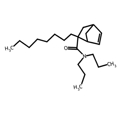 CCCCCCCCC1(C(=O)N(CCC)CCC)CC2C=CC1C2